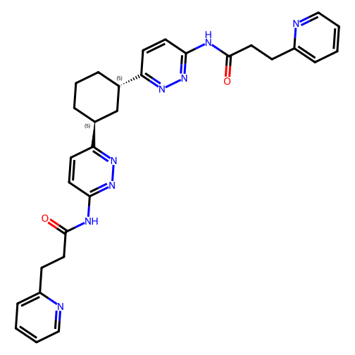 O=C(CCc1ccccn1)Nc1ccc([C@H]2CCC[C@H](c3ccc(NC(=O)CCc4ccccn4)nn3)C2)nn1